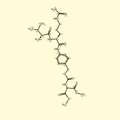 COC(=O)C(NC(=O)OCc1ccc(NC(=O)[C@H](CCCNC(N)=O)NC(=O)[C@@H](N)C(C)C)cc1)C(=O)OC